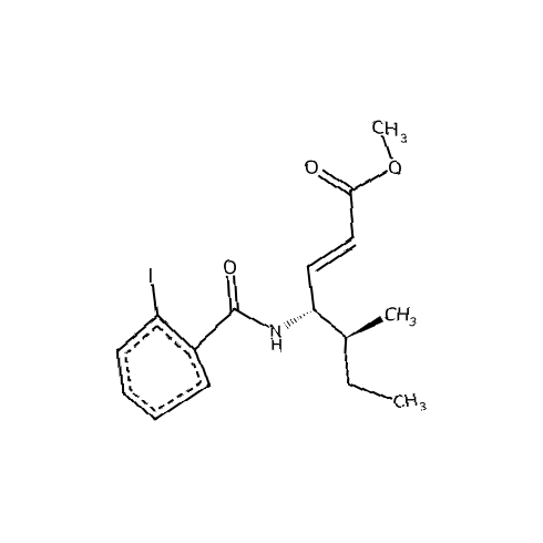 CC[C@H](C)[C@@H](/C=C/C(=O)OC)NC(=O)c1ccccc1I